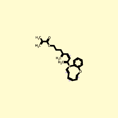 C=C(/C=C\C(=C)N1/C=C/C=C\C=C\Oc2ccccc21)CCCOC(=O)C(=C)C